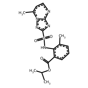 Cc1cccc(C(=O)OC(C)C)c1NS(=O)(=O)c1nc2nccc(C)n2n1